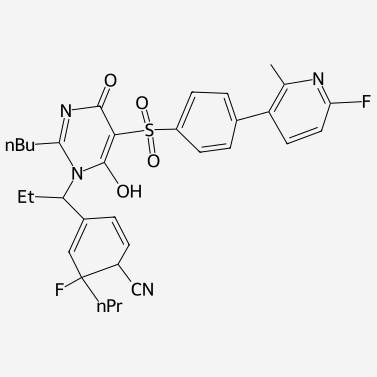 CCCCc1nc(=O)c(S(=O)(=O)c2ccc(-c3ccc(F)nc3C)cc2)c(O)n1C(CC)C1=CC(F)(CCC)C(C#N)C=C1